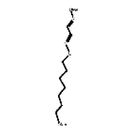 CCCCCCCCCCCCCCCCO/N=C/C=N/OC